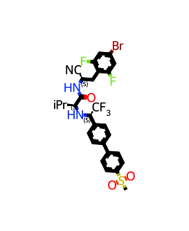 CC(C)[C@H](N[C@@H](c1ccc(-c2ccc(S(C)(=O)=O)cc2)cc1)C(F)(F)F)C(=O)N[C@H](C#N)Cc1c(F)cc(Br)cc1F